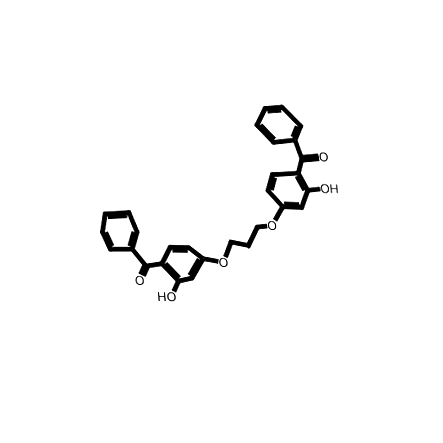 O=C(c1ccccc1)c1ccc(OC[CH]COc2ccc(C(=O)c3ccccc3)c(O)c2)cc1O